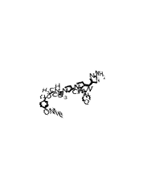 COc1ccc(C(=O)OCC(C)(C)NC(=S)N2CC[C@](C)(N3CCc4c(-c5cnc(N)nc5)nc(N5CCOCC5)nc43)C2)cc1